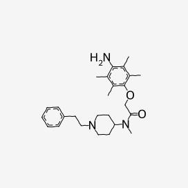 Cc1c(C)c(OCC(=O)N(C)C2CCN(CCc3ccccc3)CC2)c(C)c(C)c1N